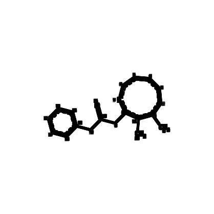 Cc1cccccsc(CC(=O)Cc2ccccc2)c1C